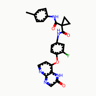 Cc1ccc(NC(=O)C2(C(=O)Nc3ccc(Oc4ccnc5ncc(=O)[nH]c45)c(F)c3)CC2)cc1